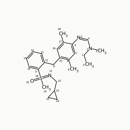 CCN(C)/C=N\c1cc(C)c(Cc2ccccc2S(C)(=O)=NCC2CC2)cc1C